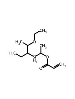 C=CC(=O)OC(C)[SiH2]C(CC)C(C)OCC